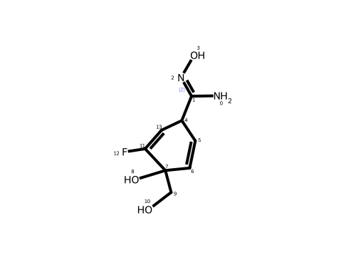 N/C(=N\O)C1C=CC(O)(CO)C(F)=C1